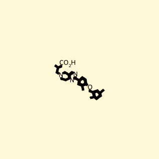 Cc1ccc(C)c(COc2ccc(-c3ncc4c(n3)CCN(CC(C)CC(=O)O)C4)cc2C)c1